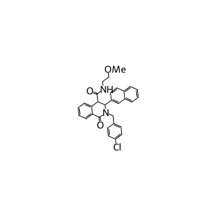 COCCNC(=O)C1c2ccccc2C(=O)N(Cc2ccc(Cl)cc2)C1c1ccc2ccccc2c1